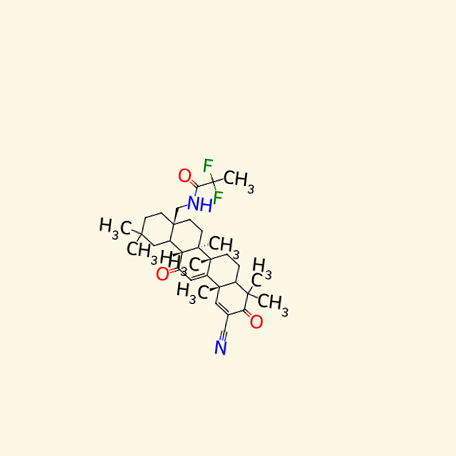 CC1(C)CC[C@]2(CNC(=O)C(C)(F)F)CC[C@]3(C)[C@H](C(=O)C=C4[C@@]5(C)C=C(C#N)C(=O)C(C)(C)C5CC[C@]43C)C2C1